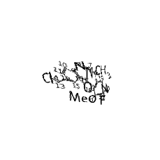 COc1cc(C(C)n2cnc3ccc(CCl)cc3c2=O)cnc1F